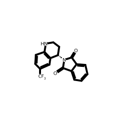 O=C1c2ccccc2C(=O)N1[C@H]1CCNc2ccc(C(F)(F)F)cc21